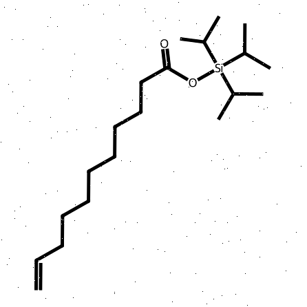 C=CCCCCCCCCC(=O)O[Si](C(C)C)(C(C)C)C(C)C